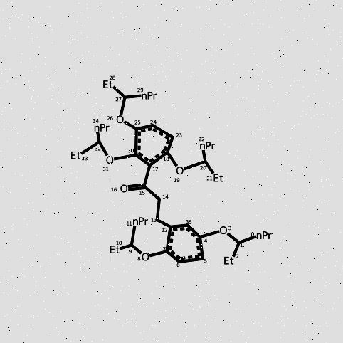 CCCC(CC)Oc1ccc(OC(CC)CCC)c(CCC(=O)c2c(OC(CC)CCC)ccc(OC(CC)CCC)c2OC(CC)CCC)c1